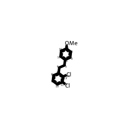 COc1ccc(CCc2[c]ccc(Cl)c2Cl)cc1